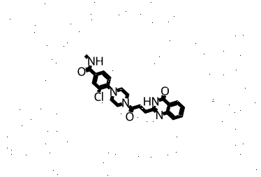 CNC(=O)c1ccc(N2CCN(C(=O)CCc3nc4ccccc4c(=O)[nH]3)CC2)c(Cl)c1